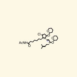 CC(=O)NC(=O)CCCCCC[C@@H]1[C@@H](/C=C/[C@@H](CCC=C(C)C)OC2CCCCO2)[C@H](OC2CCCCO2)C[C@H]1Cl